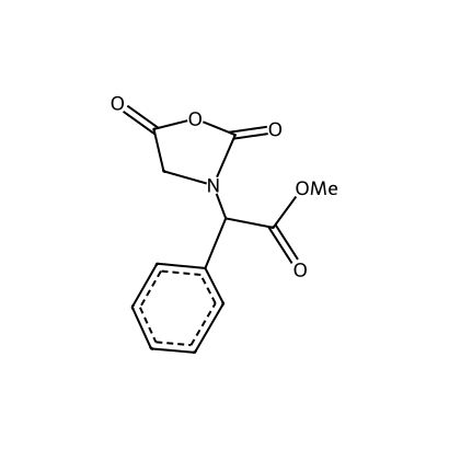 COC(=O)C(c1ccccc1)N1CC(=O)OC1=O